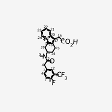 CN(C(=O)Cc1ccc(F)c(C(F)(F)F)c1)[C@@H]1CCc2c(CC(=O)O)c3ccccn3c2C1